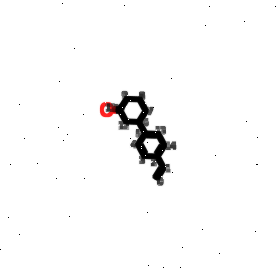 C=Cc1ccc(C2CCCC(=O)C2)cc1